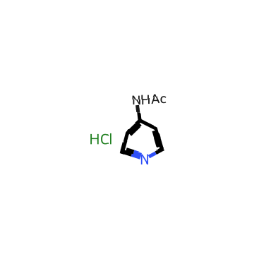 CC(=O)Nc1ccncc1.Cl